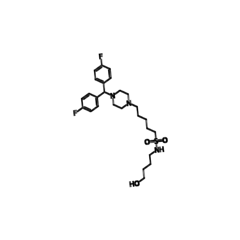 O=S(=O)(CCCCCN1CCN(C(c2ccc(F)cc2)c2ccc(F)cc2)CC1)NCCCCO